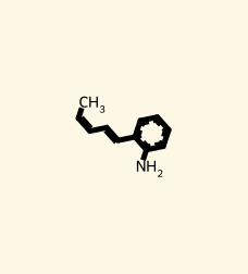 C/C=C\C=C\c1ccccc1N